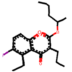 CCCc1c(OC(C)CCC)oc2ccc(I)c(CC)c2c1=O